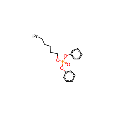 CC(C)CCCCCOP(=O)(Oc1ccccc1)Oc1ccccc1